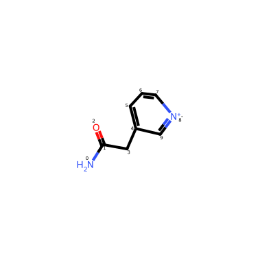 NC(=O)CC1=CC=C[N+]=C1